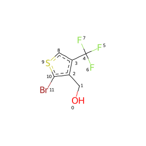 OCc1c(C(F)(F)F)csc1Br